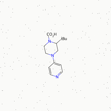 CC(C)(C)C1CN(c2ccncc2)CCN1C(=O)O